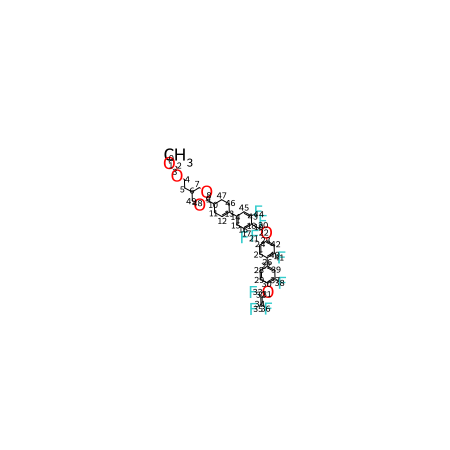 COCOCCC1COC(C2CC=C(c3cc(F)c(C(F)(F)Oc4ccc(-c5ccc(OC(F)=C(F)F)c(F)c5)c(F)c4)c(F)c3)CC2)OC1